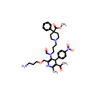 COC(=O)C1(c2ccccc2)CCN(CCCN(C=O)C2=C(COCCCN)NC(C)=C(C(C)=O)C2c2ccc([N+](=O)[O-])cc2)CC1